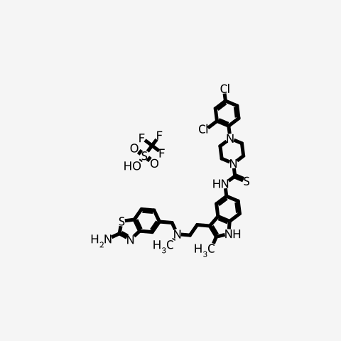 Cc1[nH]c2ccc(NC(=S)N3CCN(c4ccc(Cl)cc4Cl)CC3)cc2c1CCN(C)Cc1ccc2sc(N)nc2c1.O=S(=O)(O)C(F)(F)F